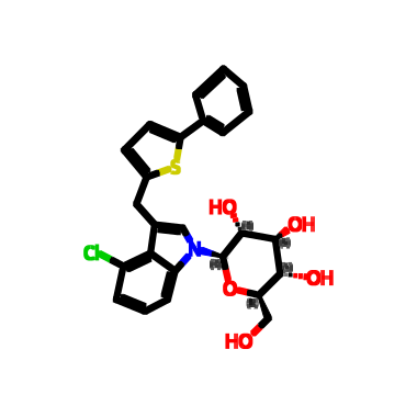 OC[C@H]1O[C@@H](n2cc(Cc3ccc(-c4ccccc4)s3)c3c(Cl)cccc32)[C@H](O)[C@@H](O)[C@@H]1O